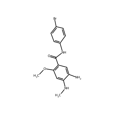 CNc1cc(OC)c(C(=O)Nc2ccc(Br)cc2)cc1N